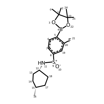 CC1(C)OB(c2ccc([S+]([O-])N[C@H]3CC[C@@H](C)CC3)cc2F)OC1(C)C